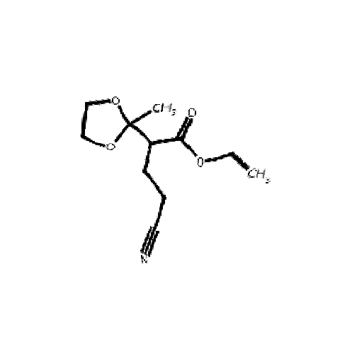 CCOC(=O)C(CCC#N)C1(C)OCCO1